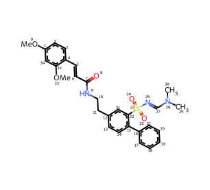 COc1ccc(C=CC(=O)NCCc2ccc(-c3ccccc3)c(S(=O)(=O)N=CN(C)C)c2)c(OC)c1